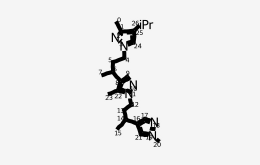 Cc1nn(CCC(C)c2cnn(CCC(C)c3cnn(C)c3)c2C)cc1C(C)C